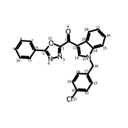 O=C(c1nnc(-c2ccccc2)o1)c1cn(Cc2ccc(Cl)cc2)c2ccccc12